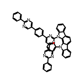 c1ccc(-c2ncc(-c3ccc(-c4cc(-c5cnc(-c6ccccc6)nc5)nc(-n5c6ccccc6c6ccc7c8ccccc8n(-c8ccccc8)c7c65)n4)cc3)cn2)cc1